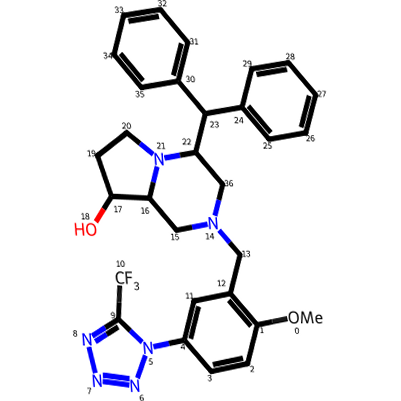 COc1ccc(-n2nnnc2C(F)(F)F)cc1CN1CC2C(O)CCN2C(C(c2ccccc2)c2ccccc2)C1